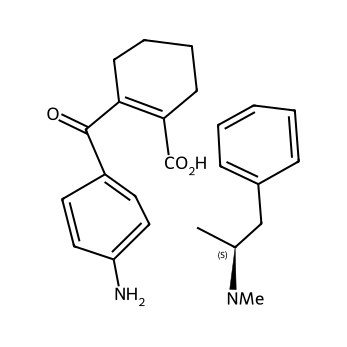 CN[C@@H](C)Cc1ccccc1.Nc1ccc(C(=O)C2=C(C(=O)O)CCCC2)cc1